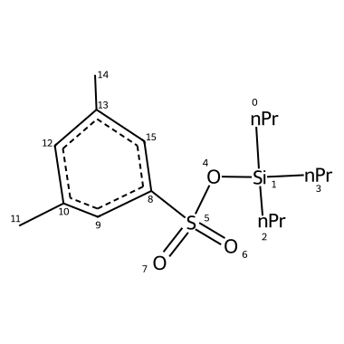 CCC[Si](CCC)(CCC)OS(=O)(=O)c1cc(C)cc(C)c1